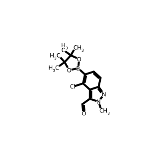 Cn1nc2ccc(B3OC(C)(C)C(C)(C)O3)c(Cl)c2c1C=O